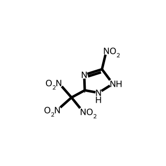 O=[N+]([O-])C1=N[C](C([N+](=O)[O-])([N+](=O)[O-])[N+](=O)[O-])NN1